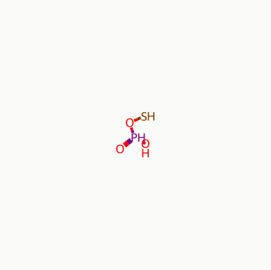 O=[PH](O)OS